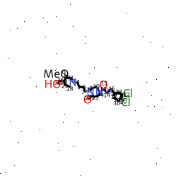 CO[C@H]1CN(CCCCN2CCN(C(=O)/C=C/c3ccc(Cl)c(Cl)c3)CCC2=O)CC[C@H]1CO